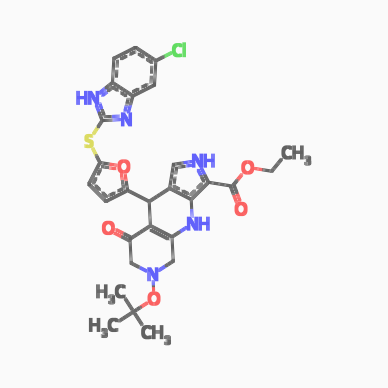 CCOC(=O)c1[nH]cc2c1NC1=C(C(=O)CN(OC(C)(C)C)C1)C2c1ccc(Sc2nc3cc(Cl)ccc3[nH]2)o1